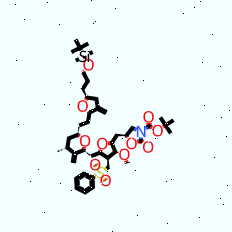 C=C1C[C@H](CCCO[Si](C)(C)C(C)(C)C)OC1CC[C@H]1C[C@@H](C)C(=C)[C@@H](CC2OC(C[C@H]3CN(C(=O)OC(C)(C)C)C(=O)O3)[C@H](OC)[C@H]2CS(=O)(=O)c2ccccc2)O1